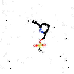 C#Cc1cccc(COS(C)(=O)=O)n1